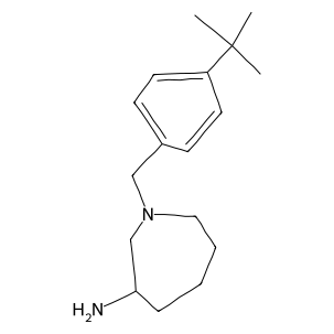 CC(C)(C)c1ccc(CN2CCCCC(N)C2)cc1